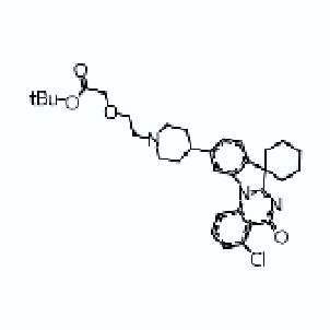 CC(C)(C)OC(=O)COCCN1CCC(c2ccc3c(c2)-n2c(nc(=O)c4c(Cl)cccc42)C32CCCCC2)CC1